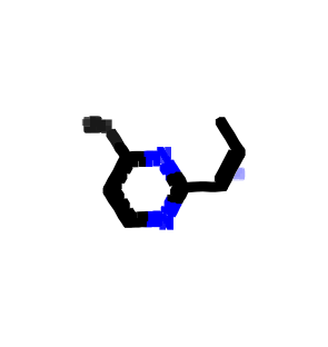 C/C=C\c1nccc(C(C)(C)C)n1